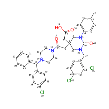 Cc1ccc(N2CC(CC(=O)O)(CC(=O)N3CCN(C(c4ccccc4)c4ccc(Cl)cc4)CC3)CN(Cc3ccc(Cl)cc3Cl)C2=O)cc1